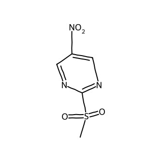 CS(=O)(=O)c1ncc([N+](=O)[O-])cn1